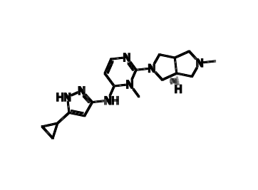 CN1CC2CN(C3=NC=CC(Nc4cc(C5CC5)[nH]n4)N3C)C[C@@H]2C1